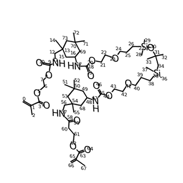 C=C(C)C(=O)OCCOC(=O)NCC1(C)CC(NC(=O)OCCOCCC[Si](C)(C)OC(C)(C)C[Si](C)(C)CCCOCCOC(=O)NC2CC(C)(C)CC(C)(CNC(=O)CCOC(=O)C(=C)C)C2)CC(C)(C)C1